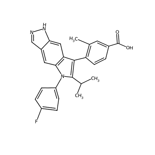 Cc1cc(C(=O)O)ccc1-c1c(C(C)C)n(-c2ccc(F)cc2)c2cc3cn[nH]c3cc12